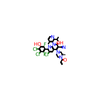 C=CC(=O)N1CCN(C2=C(C#N)C(O)N(c3c(C)ccnc3C(C)C)c3nc(-c4c(F)c(O)c(Cl)c(Cl)c4F)c(Cl)cc32)C[C@H]1C